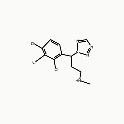 CNCCC(c1ccc(Cl)c(Cl)c1Cl)n1ncnn1